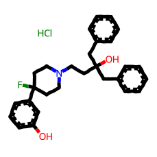 Cl.Oc1cccc(C2(F)CCN(CCC(O)(Cc3ccccc3)Cc3ccccc3)CC2)c1